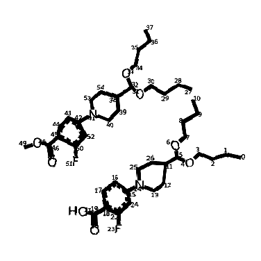 CCCCOC(OCCCC)C1CCN(c2ccc(C(=O)O)c(F)c2)CC1.CCCCOC(OCCCC)C1CCN(c2ccc(C(=O)OC)c(F)c2)CC1